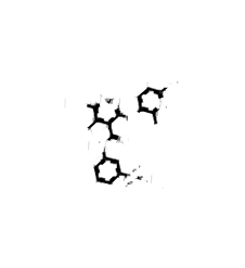 Cc1nc(F)ccc1Oc1nnc(C(F)(F)F)c(C)c1C(=O)Nc1cccc(S(N)(=O)=O)c1